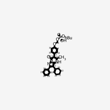 CCCCOP(=O)(O)OCOc1ccc(-c2c(C)[nH]c3c(C4=CCCCC4)c(-c4ccccc4)nn3c2=O)cc1